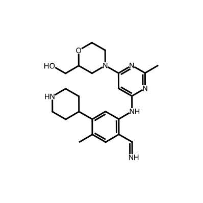 Cc1nc(Nc2cc(C3CCNCC3)c(C)cc2C=N)cc(N2CCOC(CO)C2)n1